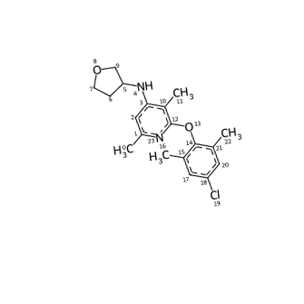 Cc1cc(NC2CCOC2)c(C)c(Oc2c(C)cc(Cl)cc2C)n1